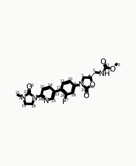 COC(=O)NC[C@H]1CN(c2ccc(-c3ccc(N4CCN(C)C4=O)nc3)c(F)c2)C(=O)O1